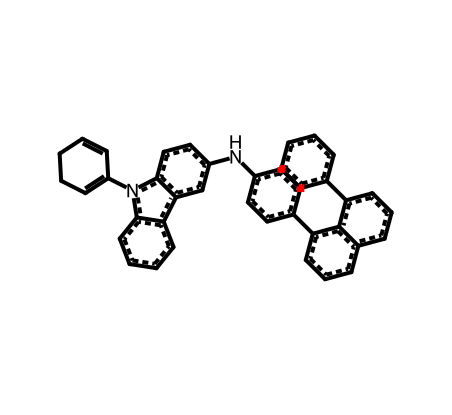 C1=CC(n2c3ccccc3c3cc(Nc4ccc(-c5cccc6cccc(-c7ccccc7)c56)cc4)ccc32)=CCC1